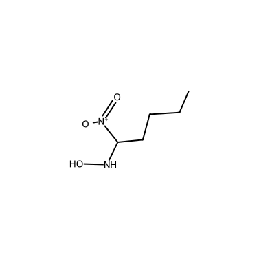 CCCCC(NO)[N+](=O)[O-]